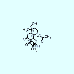 C=C1C(=O)[C@]23CC[C@H]1CC2[C@]1(COC(C)=O)CCC[C@@](C)(CO)C1CC3=O